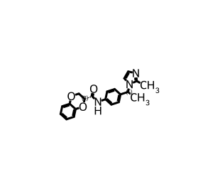 Cc1nccn1[C@@H](C)c1ccc(NC(=O)[C@H]2COc3ccccc3O2)cc1